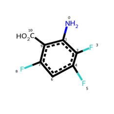 Nc1c(F)c(F)cc(F)c1C(=O)O